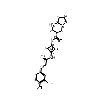 O=C(COc1ccc(Cl)c(F)c1)NC12CC(NC(=O)C3CNC4CCNN4C3)(C1)C2